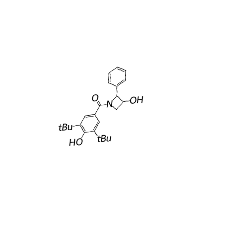 CC(C)(C)c1cc(C(=O)N2CC(O)C2c2ccccc2)cc(C(C)(C)C)c1O